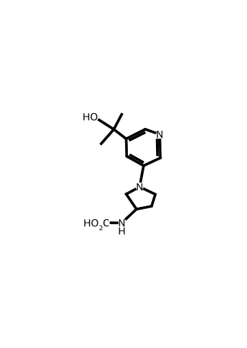 CC(C)(O)c1cncc(N2CCC(NC(=O)O)C2)c1